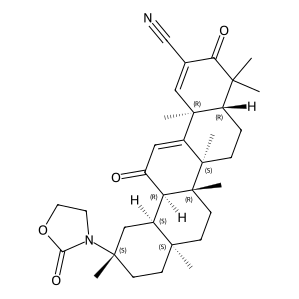 CC1(C)C(=O)C(C#N)=C[C@]2(C)C3=CC(=O)[C@@H]4[C@@H]5C[C@@](C)(N6CCOC6=O)CC[C@]5(C)CC[C@@]4(C)[C@]3(C)CC[C@@H]12